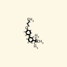 CCCCOc1ccc(-c2[c]ccc(C(C)(C)C)c2)cc1